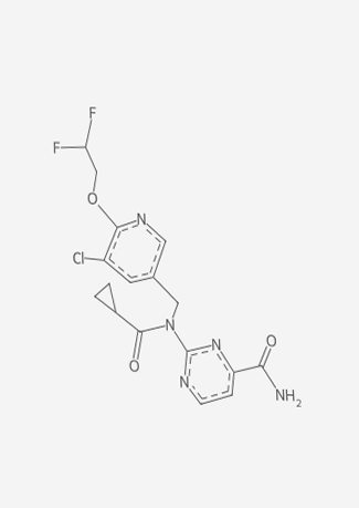 NC(=O)c1ccnc(N(Cc2cnc(OCC(F)F)c(Cl)c2)C(=O)C2CC2)n1